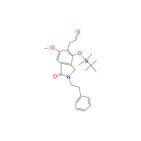 COc1cc2c(c(O[Si](C)(C)C(C)(C)C)c1CC=O)CN(CCc1ccccc1)C2=O